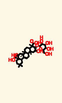 CC1(C)CC[C@@]2(C(=O)O)C(C1)C1=CCC3[C@@]4(C)C[C@H](O)[C@H](OC5OC(CO)C(O)C(O)C5O)[C@@](C)(C(=O)O)C4CC[C@@]3(C)[C@]1(C)C[C@H]2O